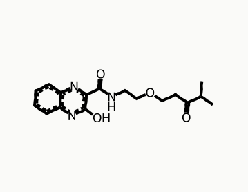 CC(C)C(=O)CCOCCNC(=O)c1nc2ccccc2nc1O